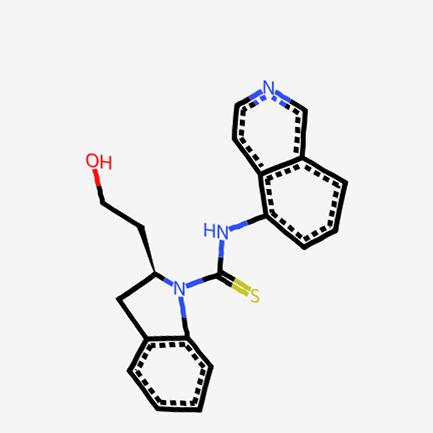 OCC[C@@H]1Cc2ccccc2N1C(=S)Nc1cccc2cnccc12